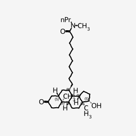 CCCN(C)C(=O)CCCCCCCCC[C@@H]1C[C@H]2CC(=O)CC[C@]2(C)[C@H]2CC[C@]3(C)[C@@H](O)CC[C@H]3[C@H]12